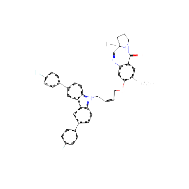 COc1cc2c(cc1OC/C=C\Cn1c3ccc(-c4ccc(F)cc4)cc3c3cc(-c4ccc(F)cc4)ccc31)N=C[C@@H]1CCCN1C2=O